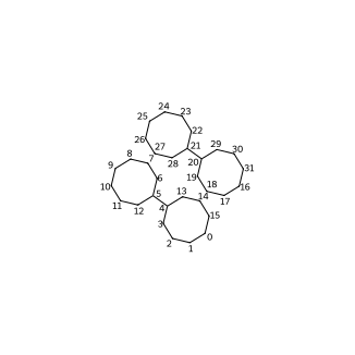 C1CCCC(C2CCCCCCC2)CCC1.C1CCCC(C2CCCCCCC2)CCC1